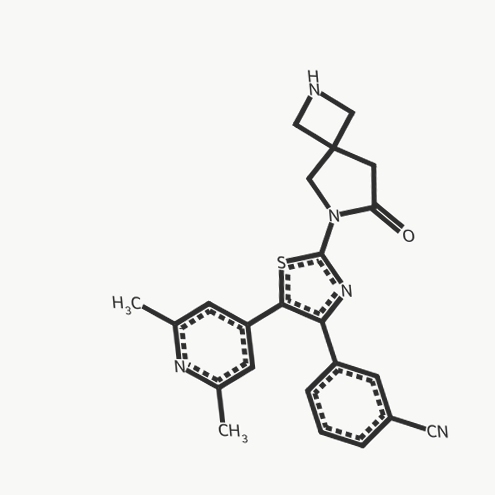 Cc1cc(-c2sc(N3CC4(CNC4)CC3=O)nc2-c2cccc(C#N)c2)cc(C)n1